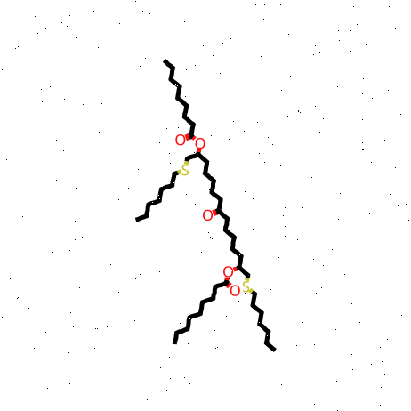 CCCCCCCCC(=O)OC(CCCCCC(=O)CCCCCC(CSCCCCCCC)OC(=O)CCCCCCCC)CSCCCCCCC